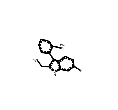 Cl.NCc1[nH]c2cc(F)ccc2c1-c1ccccc1Cl